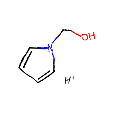 OCn1cccc1.[H+]